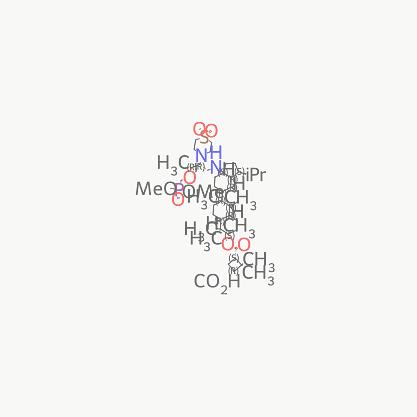 COP(=O)(CO[C@H](C)[C@@H](CN[C@]12CC[C@@H](C(C)C)[C@@H]1[C@H]1CC[C@@H]3[C@@]4(C)CC[C@H](OC(=O)[C@H]5C[C@@H](C(=O)O)C5(C)C)C(C)(C)[C@@H]4CC[C@@]3(C)[C@]1(C)CC2)N1CCS(=O)(=O)CC1)OC